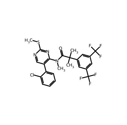 CSc1ncc(-c2ccccc2Cl)c(N(C)C(=O)C(C)(C)c2cc(C(F)(F)F)cc(C(F)(F)F)c2)n1